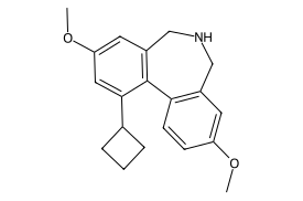 COc1ccc2c(c1)CNCc1cc(OC)cc(C3CCC3)c1-2